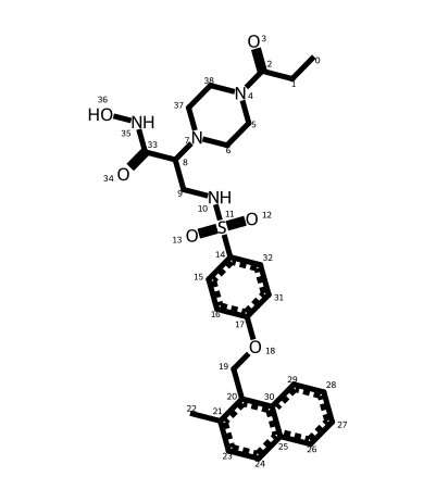 CCC(=O)N1CCN(C(CNS(=O)(=O)c2ccc(OCc3c(C)ccc4ccccc34)cc2)C(=O)NO)CC1